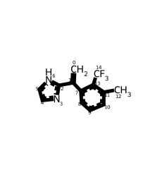 C=C(c1ncc[nH]1)c1cccc(C)c1C(F)(F)F